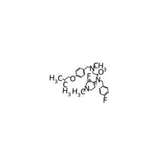 CC(C)COc1ccc(CN(C)CC(=O)N(Cc2ccc(F)cc2)[C@H]2CCN(C)C[C@H]2F)cc1